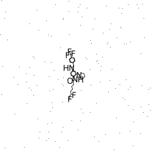 O=C(CCCCC(F)CF)Nc1ccc(NCc2ccc(C(F)(F)F)cc2)cc1N1CCCCC1